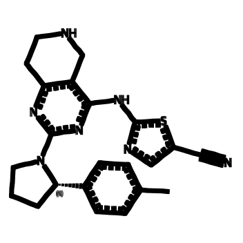 Cc1ccc([C@@H]2CCCN2c2nc3c(c(Nc4ncc(C#N)s4)n2)CNCC3)cc1